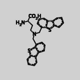 NC(CCN(Cc1cccc2c1sc1ccccc12)Cc1cccc2c1sc1ccccc12)C(=O)O